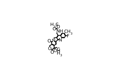 CC[C@@]1(O)C(=O)OCc2c1cc1n(c2=O)Cc2c-1nc1cc(F)c(C)cc1c2CNC(=O)OC